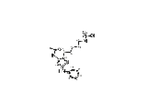 CC(=S)Nc1sc(Nc2ccccc2)nc1CCCCCNC(=O)O